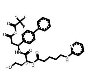 O=C(CCCCNc1ccccn1)N[C@@H](CCO)C(=O)NC(CC(=O)OC(=O)C(F)(F)F)c1ccc(-c2ccccc2)cc1